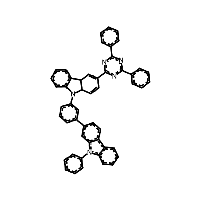 C1=CC2C(C=C1c1nc(-c3ccccc3)nc(-c3ccccc3)n1)c1ccccc1N2c1cccc(-c2ccc3c4ccccc4n(-c4ccccc4)c3c2)c1